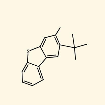 Cc1cc2sc3ccccc3c2cc1C(C)(C)C